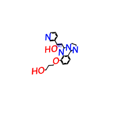 OCCCOc1cccc2c1N=C(/C=C(\O)c1cccnc1)N1CCN=C21